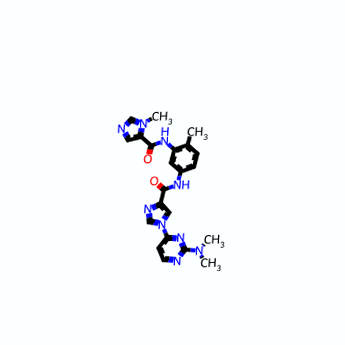 Cc1ccc(NC(=O)c2cn(-c3ccnc(N(C)C)n3)cn2)cc1NC(=O)c1cncn1C